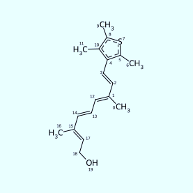 CC(C=Cc1c(C)sc(C)c1C)=CC=CC(C)=CCO